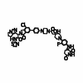 O=C1CC[C@H](Nc2ccc(N3CCC(O)(CC(=O)N4CCN(c5ccc(-c6cc(Cl)c7c(c6)C(=O)N(C(C(=O)Nc6nccs6)c6ncn8c6CCC8)C7)cc5)CC4)CC3)c(F)c2)C(=O)N1